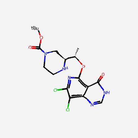 C[C@H](Oc1nc(Cl)c(Cl)c2nc[nH]c(=O)c12)[C@@H]1CN(C(=O)OC(C)(C)C)CCN1